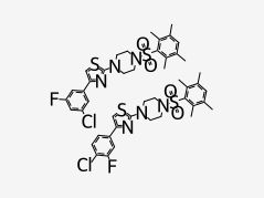 Cc1cc(C)c(C)c(S(=O)(=O)N2CCN(c3nc(-c4cc(F)cc(Cl)c4)cs3)CC2)c1C.Cc1cc(C)c(C)c(S(=O)(=O)N2CCN(c3nc(-c4ccc(Cl)c(F)c4)cs3)CC2)c1C